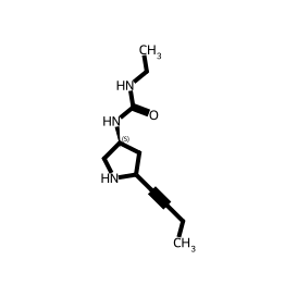 CCC#CC1C[C@H](NC(=O)NCC)CN1